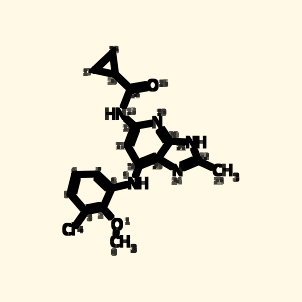 COc1c(Cl)cccc1Nc1cc(NC(=O)C2CC2)nc2[nH]c(C)nc12